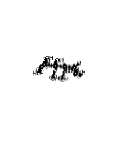 CC(=O)Nc1cccc2c1nc1c(C#N)c(C)c(N=Nc3cc(C)c(N=Nc4cc(CO)c(N=Nc5nc6c(S(=O)(=O)O)cc7ccc(S(=O)(=O)O)cc7c6s5)cc4SCCCS(=O)(=O)O)cc3OCCCS(=O)(=O)O)c(O)n12